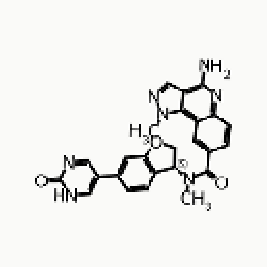 CN(C(=O)c1ccc2nc(N)c3cnn(C)c3c2c1)[C@@H]1COc2cc(-c3cnc(=O)[nH]c3)ccc21